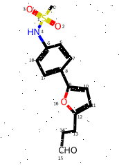 CS(=O)(=O)Nc1ccc(-c2ccc(CCC=O)o2)cc1